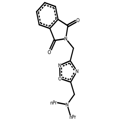 CCCN(CCC)Cc1nc(CN2C(=O)c3ccccc3C2=O)no1